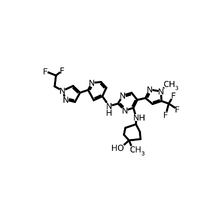 Cn1nc(-c2cnc(Nc3ccnc(-c4cnn(CC(F)F)c4)c3)nc2NC2CCC(C)(O)CC2)cc1C(F)(F)F